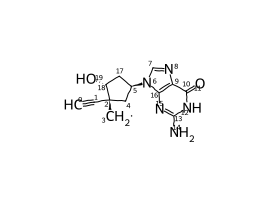 C#C[C@@]1([CH2])C[C@H](n2cnc3c(=O)[nH]c(N)nc32)C[C@H]1O